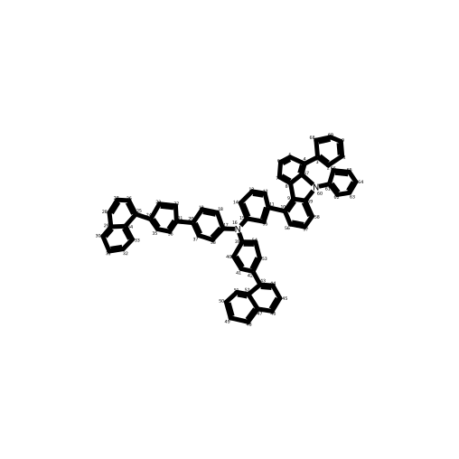 c1ccc(-c2cccc3c4c(-c5cccc(N(c6ccc(-c7ccc(-c8cccc9ccccc89)cc7)cc6)c6ccc(-c7cccc8ccccc78)cc6)c5)cccc4n(-c4ccccc4)c23)cc1